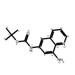 CC(C)(C)OC(=O)Nc1cc(N)c2ncccc2c1